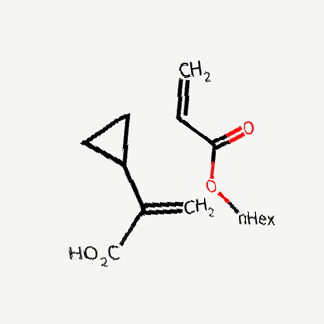 C=C(C(=O)O)C1CC1.C=CC(=O)OCCCCCC